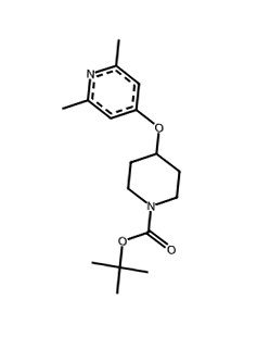 Cc1cc(OC2CCN(C(=O)OC(C)(C)C)CC2)cc(C)n1